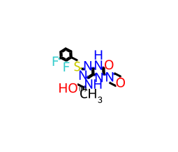 C[C@H](CO)Nc1nc(SCc2cccc(F)c2F)nc2[nH]c(=O)c(N3CCOCC3)nc12